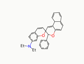 CCN(CC)c1ccc2c(c1)OC1(C=C2)C=C2C(=CC=C3C=CC=CC32)OC1c1ccccc1